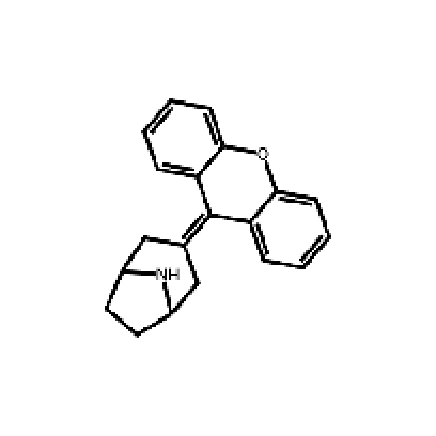 c1ccc2c(c1)Oc1ccccc1C2=C1CC2CCC(C1)N2